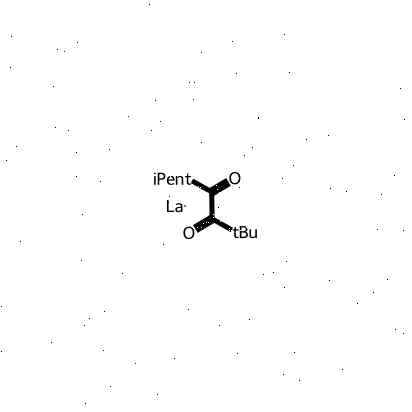 CCCC(C)C(=O)C(=O)C(C)(C)C.[La]